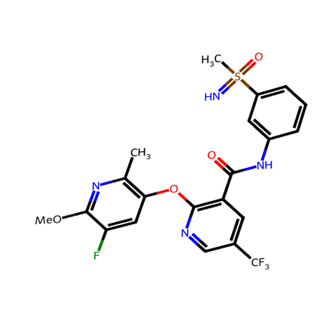 COc1nc(C)c(Oc2ncc(C(F)(F)F)cc2C(=O)Nc2cccc(S(C)(=N)=O)c2)cc1F